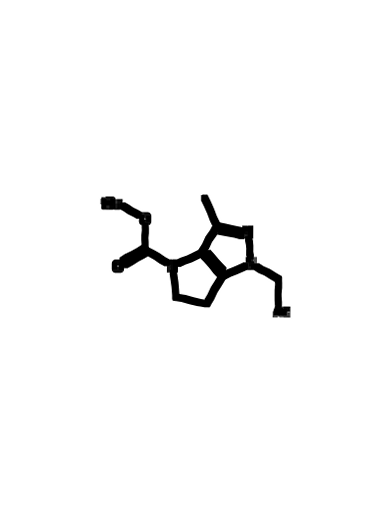 CC(=O)Cn1nc(C)c2c1CCN2C(=O)OC(C)(C)C